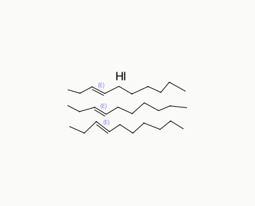 CC/C=C/CCCCCC.CC/C=C/CCCCCC.CC/C=C/CCCCCC.I